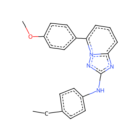 CCc1ccc(Nc2nc3cccc(-c4ccc(OC)cc4)n3n2)cc1